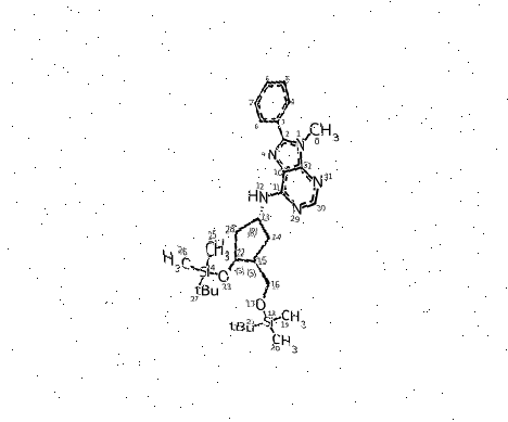 Cn1c(-c2ccccc2)nc2c(N[C@@H]3C[C@@H](CO[Si](C)(C)C(C)(C)C)[C@@H](O[Si](C)(C)C(C)(C)C)C3)ncnc21